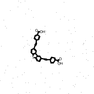 O=C(O)c1ccc(C#Cc2ccc3sc4ccc(C#Cc5ccc(C(=O)O)cc5)cc4c3c2)cc1